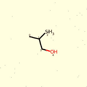 CC([SiH3])CO